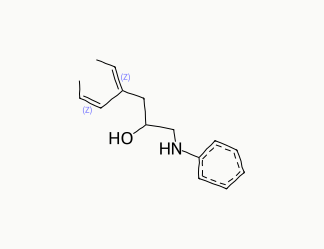 C/C=C\C(=C/C)CC(O)CNc1ccccc1